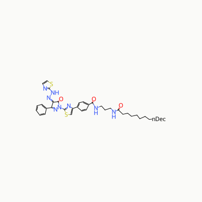 CCCCCCCCCCCCCCCCCC(=O)NCCCNC(=O)c1ccc(-c2csc(N3N=C(c4ccccc4)/C(=N/Nc4nccs4)C3=O)n2)cc1